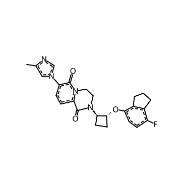 Cc1cn(-c2ccc3n(c2=O)CCN([C@@H]2CC[C@H]2Oc2ccc(F)c4c2CCC4)C3=O)cn1